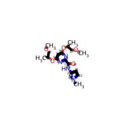 COCC(C)Oc1cc(OC(C)COC)nc(C(=O)Nc2ccn(C)n2)n1